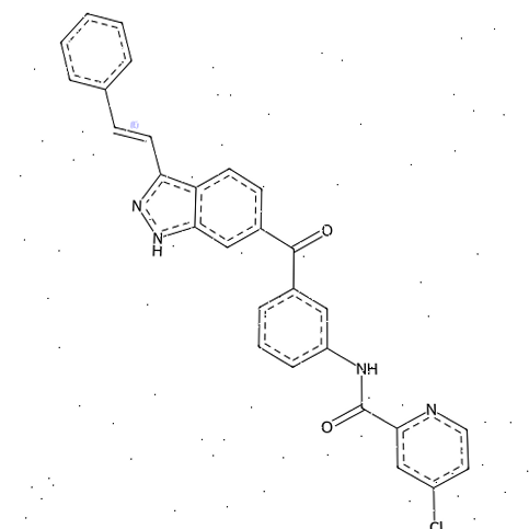 O=C(c1cccc(NC(=O)c2cc(Cl)ccn2)c1)c1ccc2c(/C=C/c3ccccc3)n[nH]c2c1